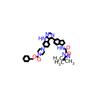 CC(C)(C)c1noc(C(=O)N[C@@H]2CCc3cc(-c4ncnc5[nH]c6cc(N7CCN(C(=O)OCc8ccccc8)CC7)ccc6c45)ccc32)n1